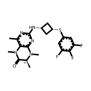 Cc1nc(N[C@H]2C[C@@H](Sc3cc(F)c(F)c(F)c3)C2)nc2c1N(C)C(=O)[C@H](C)N2C